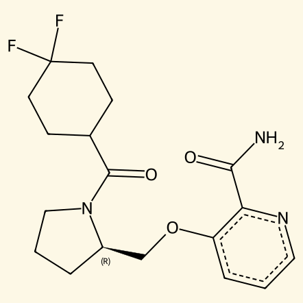 NC(=O)c1ncccc1OC[C@H]1CCCN1C(=O)C1CCC(F)(F)CC1